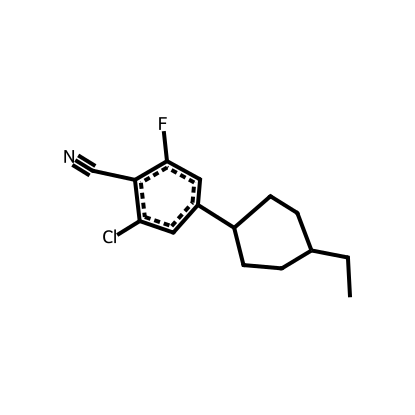 CCC1CCC(c2cc(F)c(C#N)c(Cl)c2)CC1